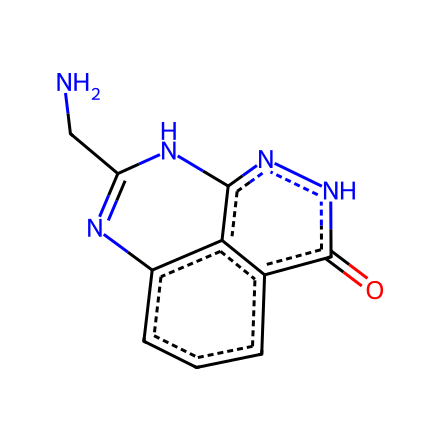 NCC1=Nc2cccc3c(=O)[nH]nc(c23)N1